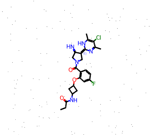 CCC(=O)NC1CC(Oc2cc(F)ccc2C(=O)N2CC(=N)/C(=C3/N=C(C)C(Cl)=C(C)N3)C2)C1